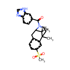 CC12CCN(C(=O)c3ccc4nc[nH]c4c3)C(Cc3ccc(S(C)(=O)=O)cc31)C2(C)C